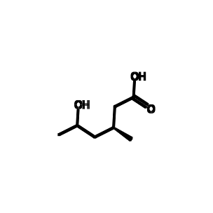 CC(O)C[C@H](C)CC(=O)O